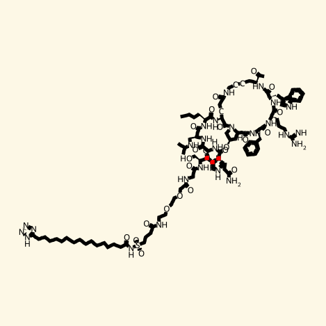 CCCC[C@H](NC(=O)[C@H](CNC(C)C)NC(=O)[C@H](Cc1c[nH]cn1)NC(=O)[C@H](CCC(N)=O)NC(=O)[C@H](CO)NC(=O)CNC(=O)COCCOCCNC(=O)CCCS(=O)(=O)NC(=O)CCCCCCCCCCCCCCCc1nnn[nH]1)C(=O)N[C@H]1CCC(=O)NCCCC[C@@H](C(C)=O)NC(=O)[C@H](Cc2c[nH]c3ccccc23)NC(=O)[C@H](CCCNC(=N)N)NC(=O)[C@@H](Cc2ccccc2)NC(=O)[C@@H]2C[C@@H](O)CN2C1=O